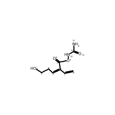 C=CC(=CCCO)C(=O)ONC(N)=O